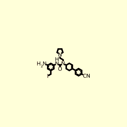 N#Cc1ccc(C2=CCC(N(CCN3CCCC3)C(=O)Nc3cc(N)cc(CI)c3)CC2)cc1